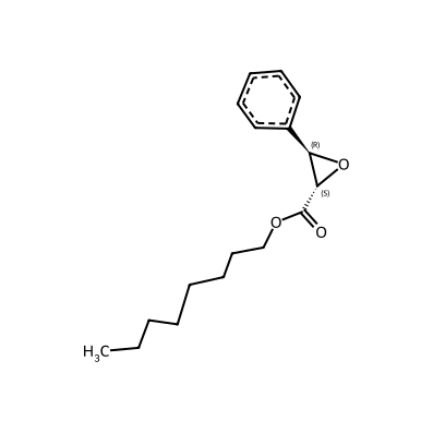 CCCCCCCCOC(=O)[C@H]1O[C@@H]1c1ccccc1